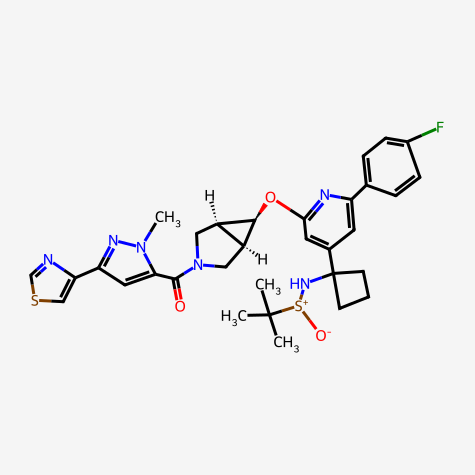 Cn1nc(-c2cscn2)cc1C(=O)N1C[C@@H]2[C@H](C1)[C@@H]2Oc1cc(C2(N[S+]([O-])C(C)(C)C)CCC2)cc(-c2ccc(F)cc2)n1